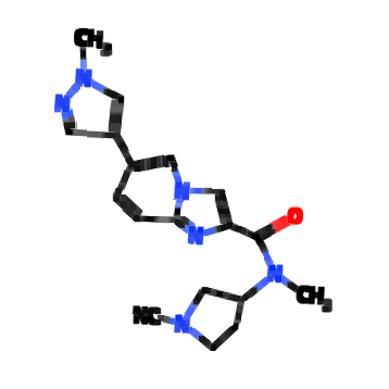 CN(C(=O)c1cn2cc(-c3cnn(C)c3)ccc2n1)C1CCN(C#N)C1